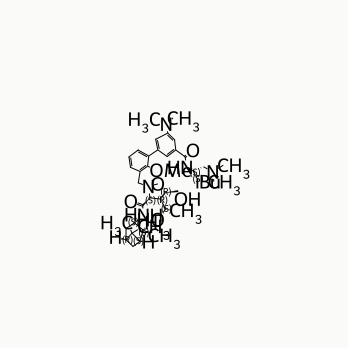 CC[C@H](C)[C@@H](CN(C)C)NC(=O)c1cc(-c2cccc(CN3O[C@@H](CO)[C@@H]([C@H](C)O)[C@H]3C(=O)N[C@H]3C[C@H]4C[C@@H]([C@@H]3C)C4(C)C)c2OC)cc(N(C)C)c1